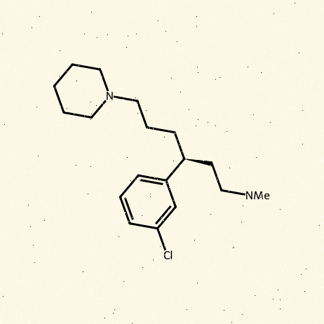 CNCC[C@H](CCCN1CCCCC1)c1cccc(Cl)c1